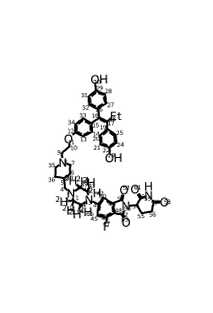 [2H]C1([2H])N(CC2CCN(CCOc3ccc(C(=C(CC)c4ccc(O)cc4)c4ccc(O)cc4)cc3)CC2)C([2H])([2H])C([2H])([2H])N(c2cc(F)c3c(c2)C(=O)N(C2CCC(=O)NC2=O)C3=O)C1([2H])[2H]